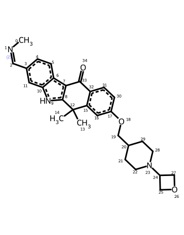 C/N=C\c1ccc2c3c([nH]c2c1)C(C)(C)c1cc(OCC2CCN(C4COC4)CC2)ccc1C3=O